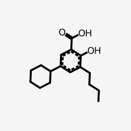 CCCCc1cc(C2CCCCC2)cc(C(=O)O)c1O